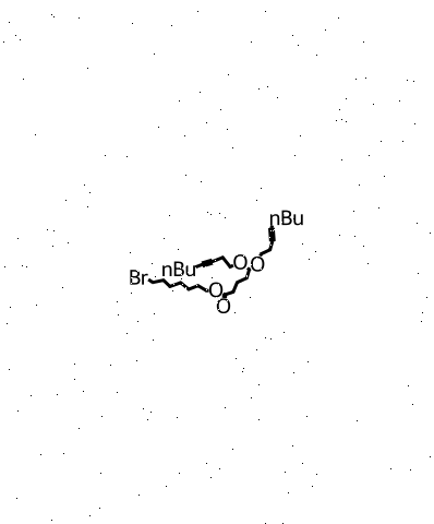 CCCCC#CCCOC(CCCC(=O)OCCCCCCCBr)OCCC#CCCCC